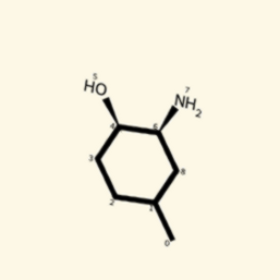 CC1CC[C@@H](O)[C@@H](N)C1